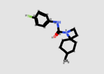 CC1CCC2(CC1)CCN2C(=O)Nc1ccc(F)cc1